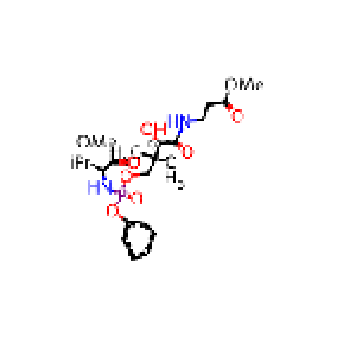 COC(=O)CCNC(=O)[C@H](O)C(C)(C)COP(=O)(NC(C(=O)OC)C(C)C)Oc1ccccc1